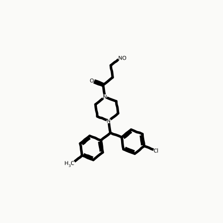 Cc1ccc(C(c2ccc(Cl)cc2)N2CCN(C(=O)CCN=O)CC2)cc1